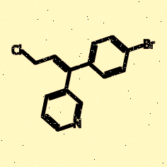 ClCC=C(c1ccc(Br)cc1)c1cccnc1